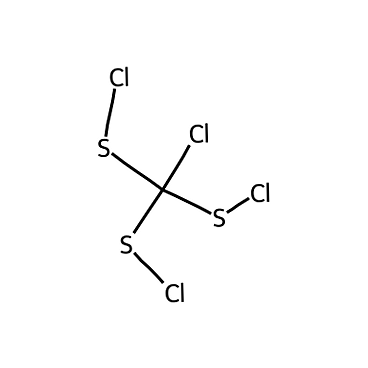 ClSC(Cl)(SCl)SCl